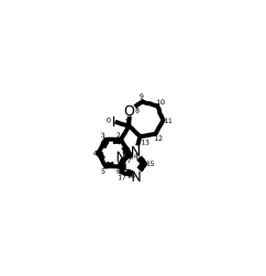 IC1(c2ccccc2)OCCCCC1n1cncn1